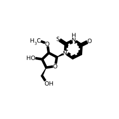 COC1C(O)[C@H](CO)O[C@@H]1n1ccc(=O)[nH]c1=S